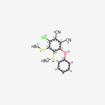 CCCCSc1c(Cl)c(C#N)c(C#N)c(Oc2ccccc2)c1SCCCC